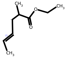 C/C=C/[CH]C(C)C(=O)OCC